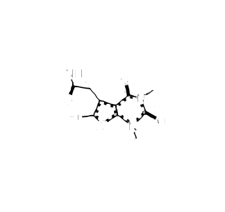 CCc1sc2c(c1CC(N)=O)c(=O)n(C)c(=O)n2C